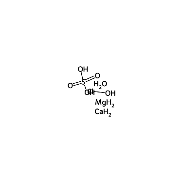 O.O=S(=O)(O)O.OCl.[CaH2].[MgH2]